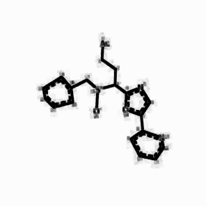 CC(=O)CCC(c1ncc(-c2ccccn2)o1)[S+]([O-])Cc1ccccc1